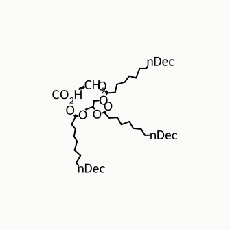 C=CC(=O)O.CCCCCCCCCCCCCCCCCC(=O)OCC(COC(=O)CCCCCCCCCCCCCCCCC)OC(=O)CCCCCCCCCCCCCCCCC